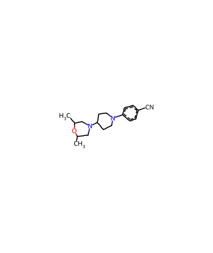 CC1CN(C2CCN(c3ccc(C#N)cc3)CC2)CC(C)O1